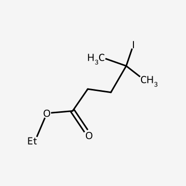 CCOC(=O)CCC(C)(C)I